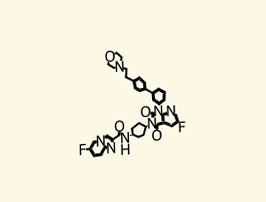 O=C(N[C@H]1CC[C@@H](n2c(=O)c3cc(F)cnc3n(-c3cccc(-c4ccc(CCN5CCOCC5)cc4)c3)c2=O)CC1)c1cn2cc(F)ccc2n1